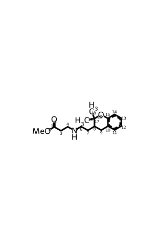 COC(=O)CCNCCC1Cc2ccccc2OC1(C)C